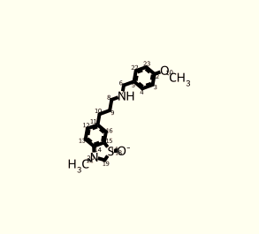 COc1ccc(CNCCCc2ccc3c(c2)[S+]([O-])CN3C)cc1